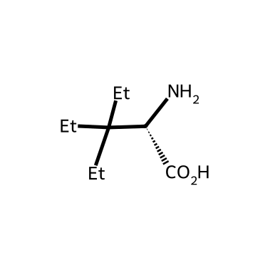 CCC(CC)(CC)[C@H](N)C(=O)O